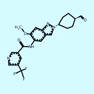 COc1cc2nn([C@H]3CC[C@H](C=O)CC3)cc2cc1NC(=O)c1cncc(C(F)(F)F)c1